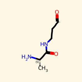 C[C@H](N)C(=O)NCC[C]=O